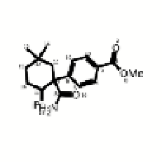 COC(=O)c1ccc(C2(C(N)=O)CC(C)(C)CCC2C(C)C)cc1